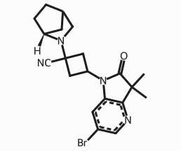 CC1(C)C(=O)N(C2CC(C#N)(N3CC4CC[C@@H]3C4)C2)c2cc(Br)cnc21